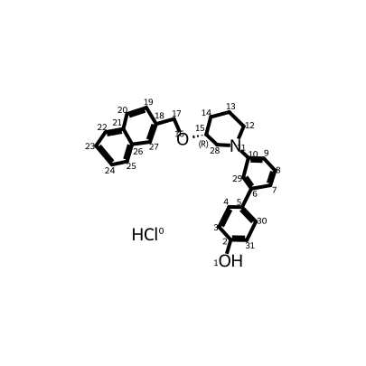 Cl.Oc1ccc(-c2cccc(N3CCC[C@@H](OCc4ccc5ccccc5c4)C3)c2)cc1